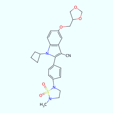 CN1CCN(c2ccc(-c3c(C#N)c4cc(OCC5COCO5)ccc4n3C3CCC3)cc2)S1(=O)=O